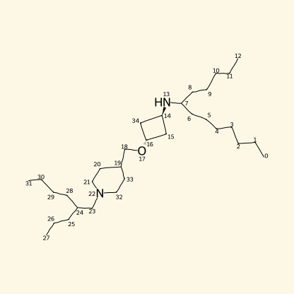 CCCCCCCC(CCCCC)N[C@H]1C[C@H](OCC2CCN(CC(CCC)CCCC)CC2)C1